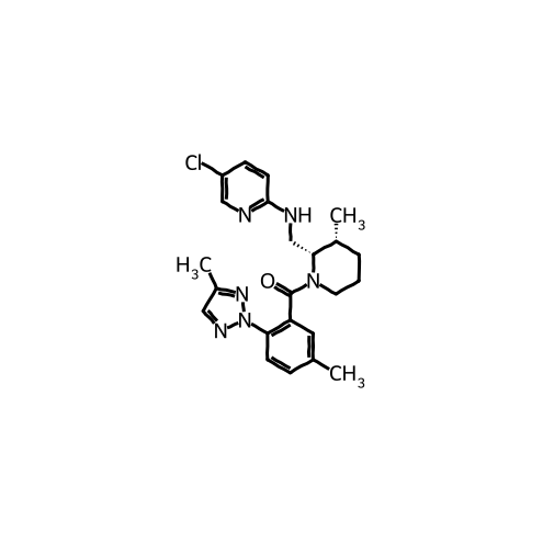 Cc1ccc(-n2ncc(C)n2)c(C(=O)N2CCC[C@@H](C)[C@H]2CNc2ccc(Cl)cn2)c1